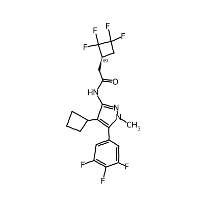 Cn1nc(NC(=O)C[C@@H]2CC(F)(F)C2(F)F)c(C2CCC2)c1-c1cc(F)c(F)c(F)c1